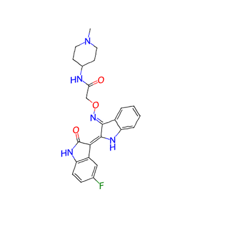 CN1CCC(NC(=O)CO/N=C2/C(=C3\C(=O)Nc4ccc(F)cc43)Nc3ccccc32)CC1